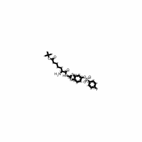 CC(C)(C)OC(=O)CCCCC(N)C(=O)Nc1nc2ccc(OS(=O)(=O)c3ccc(F)cc3)cc2s1